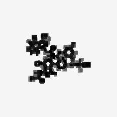 CC(C)C(=O)Nc1nn(C)c2c(-c3ccc(C#CC(C)(C)O)nc3[C@H](Cc3cc(F)cc(F)c3)NC(=O)Cn3nc(C(F)(F)F)c4c3C(F)(F)[C@@H]3C[C@H]43)ccc(Cl)c12